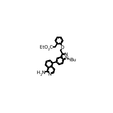 CCOC(=O)Cc1ccccc1OCc1nn([C@H](C)CC)c2ccc(-c3cccc4c(N)nccc34)cc12